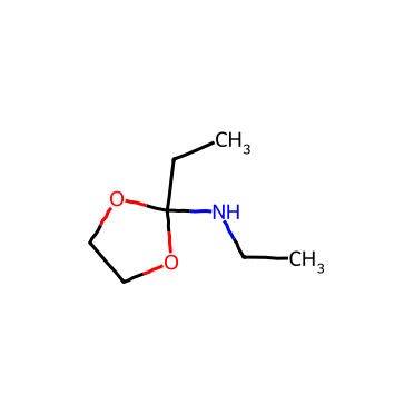 CCNC1(CC)OCCO1